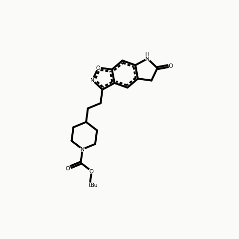 CC(C)(C)OC(=O)N1CCC(CCc2noc3cc4c(cc23)CC(=O)N4)CC1